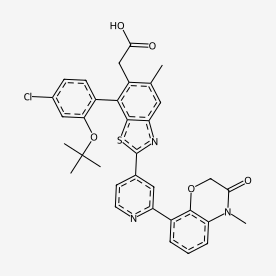 Cc1cc2nc(-c3ccnc(-c4cccc5c4OCC(=O)N5C)c3)sc2c(-c2ccc(Cl)cc2OC(C)(C)C)c1CC(=O)O